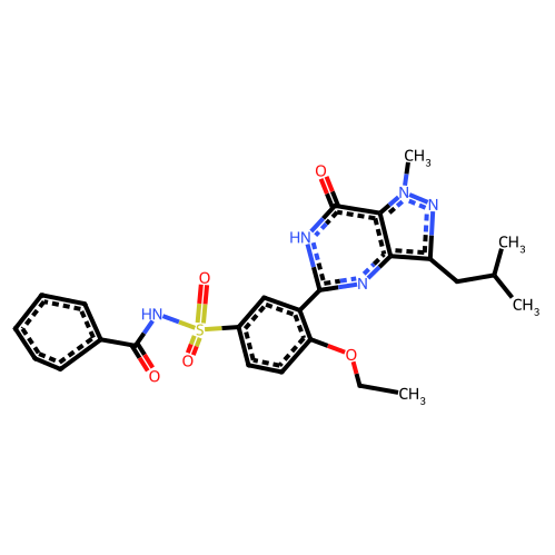 CCOc1ccc(S(=O)(=O)NC(=O)c2ccccc2)cc1-c1nc2c(CC(C)C)nn(C)c2c(=O)[nH]1